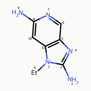 CCn1c(N)nc2cnc(N)cc21